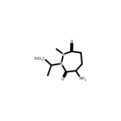 CCOC(=O)C(C)N1C(=O)C(N)CCC(=O)N1C